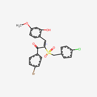 COc1ccc(/C=C(\C(=O)c2ccc(Br)cc2)S(=O)(=O)Cc2ccc(Cl)cc2)c(O)c1